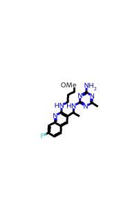 COCCCNc1nc2cc(F)ccc2cc1C(C)Nc1nc(C)nc(N)n1